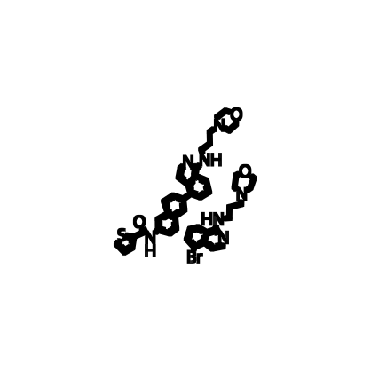 Brc1cccc2c(NCCCN3CCOCC3)nccc12.O=C(Nc1ccc2cc(-c3cccc4c(NCCCN5CCOCC5)nccc34)ccc2c1)c1cccs1